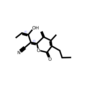 C=c1c(C)c(CCC)c(=O)o/c1=C(C#N)/C(O)=C\C